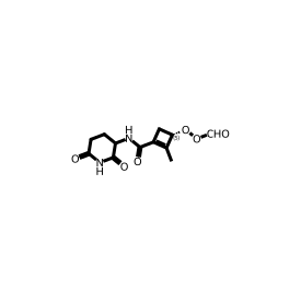 CC1=C(C(=O)NC2CCC(=O)NC2=O)C[C@@H]1OOC=O